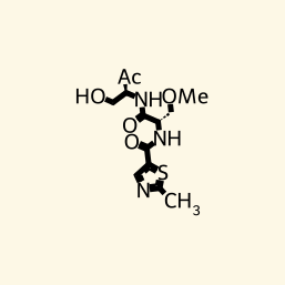 COC[C@H](NC(=O)c1cnc(C)s1)C(=O)N[C@@H](CO)C(C)=O